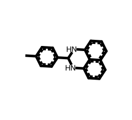 Cc1ccc(C2Nc3cccc4cccc(c34)N2)cc1